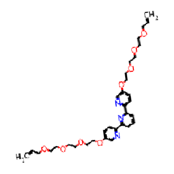 C=CCOCCOCCOCCOc1ccc(-c2cccc(-c3ccc(OCCOCCOCCOCC=C)cn3)n2)nc1